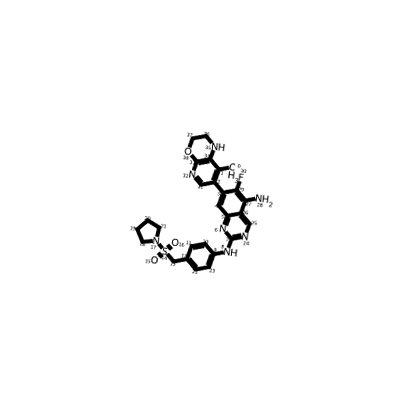 Cc1c(-c2cc3nc(Nc4ccc(CS(=O)(=O)N5CCCC5)cc4)ncc3c(N)c2F)cnc2c1NCCO2